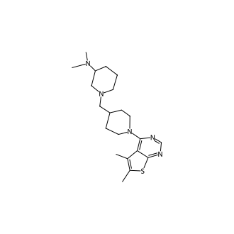 Cc1sc2ncnc(N3CCC(CN4CCCC(N(C)C)C4)CC3)c2c1C